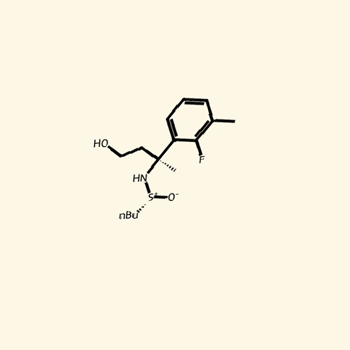 CCCC[S@@+]([O-])N[C@@](C)(CCO)c1cccc(C)c1F